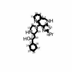 CC(C)c1nc2c(s1)NC=c1cccnc1=C2N1CCNC(C[C@@H](O)c2ccccc2)C1